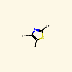 CCc1nc(CC)c(C)s1